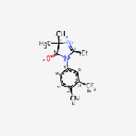 CCC1=NC(C)(C)C(=O)N1c1ccc(C#N)c(C(F)(F)F)c1